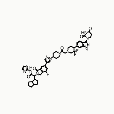 Cn1nc(N2CCC(=O)NC2=O)c2ccc(C3CCN(CC(=O)N4CCC(n5cc(-c6cc(F)c7c(c6)C(=O)N(C(C(=O)Nc6nccs6)C6CCC8CCCC86)C7)cn5)CC4)CC3(F)F)cc21